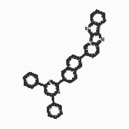 c1ccc(-c2cc(-c3ccccc3)nc(-c3ccc4cc(-c5ccc6nc7c8ccccc8oc7n6c5)ccc4c3)n2)cc1